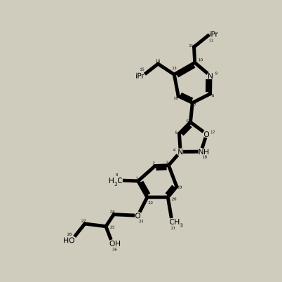 Cc1cc(N2C=C(c3cnc(CC(C)C)c(CC(C)C)c3)ON2)cc(C)c1OCC(O)CO